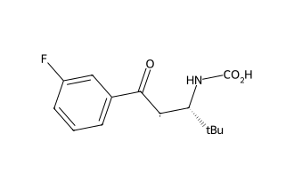 CC(C)(C)[C@H]([CH]C(=O)c1cccc(F)c1)NC(=O)O